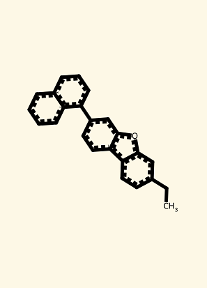 CCc1ccc2c(c1)oc1cc(-c3cccc4ccccc34)ccc12